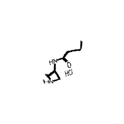 CCCC(=O)NC1CNC1.Cl